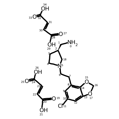 NC[C@@H]1CCN(CCc2cc(Cl)cc3c2OCO3)C1.O=C(O)/C=C/C(=O)O.O=C(O)/C=C/C(=O)O